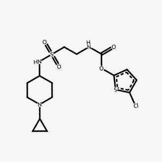 O=C(NCCS(=O)(=O)NC1CCN(C2CC2)CC1)Oc1ccc(Cl)s1